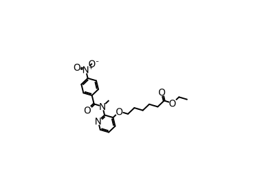 CCOC(=O)CCCCCOc1cccnc1N(C)C(=O)c1ccc([N+](=O)[O-])cc1